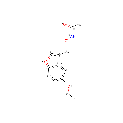 CCOc1ccc2occ(CONC(C)=O)c2c1